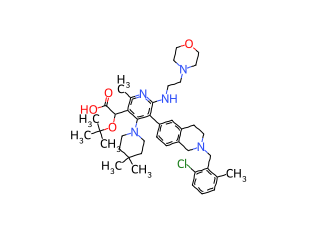 Cc1cccc(Cl)c1CN1CCc2cc(-c3c(NCCN4CCOCC4)nc(C)c(C(OC(C)(C)C)C(=O)O)c3N3CCC(C)(C)CC3)ccc2C1